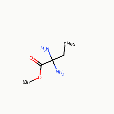 CCCCCCCC(N)(N)C(=O)OC(C)(C)C